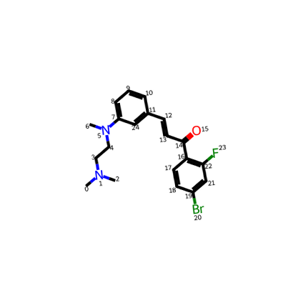 CN(C)CCN(C)c1cccc(C=CC(=O)c2ccc(Br)cc2F)c1